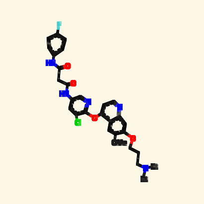 CCN(CC)CCCOc1cc2nccc(Oc3ncc(NC(=O)CC(=O)Nc4ccc(F)cc4)cc3Cl)c2cc1OC